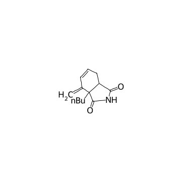 C=C1C=CCC2C(=O)NC(=O)C12CCCC